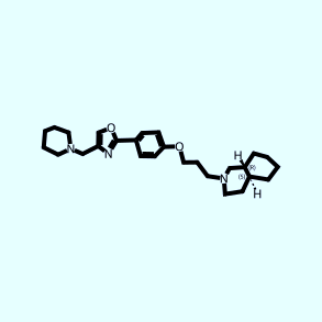 c1cc(-c2nc(CN3CCCCC3)co2)ccc1OCCCN1CC[C@@H]2CCCC[C@H]2C1